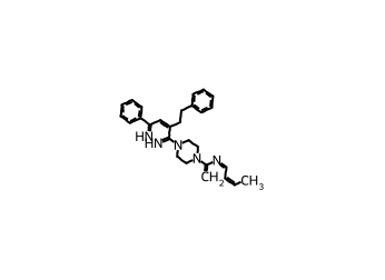 C=C(/N=C\C=C/C)N1CCN(C(=N)/C(=C\C(=N)c2ccccc2)CCc2ccccc2)CC1